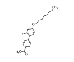 CCCCCCCCOc1ccc(-c2ccc(C(C)=O)cc2)c(F)c1